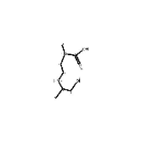 CC(CO)NCCN(C)C(=O)O